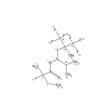 CCC(C)(I)C(=O)OC(CC(O)(C(F)(F)F)C(F)(F)F)C(C)C